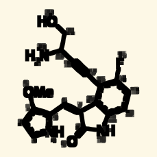 COc1cc[nH]c1C=C1C(=O)Nc2ccc(F)c(C#CC(N)CO)c21